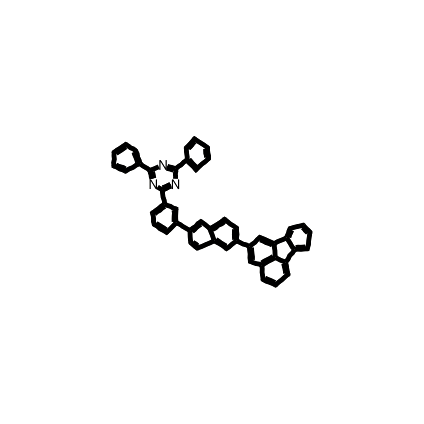 c1ccc(-c2nc(-c3ccccc3)nc(-c3cccc(-c4ccc5cc(-c6cc7c8c(cccc8c6)-c6ccccc6-7)ccc5c4)c3)n2)cc1